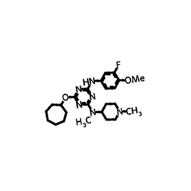 COc1ccc(Nc2nc(OC3CCCCCC3)nc(N(C)C3CCN(C)CC3)n2)cc1F